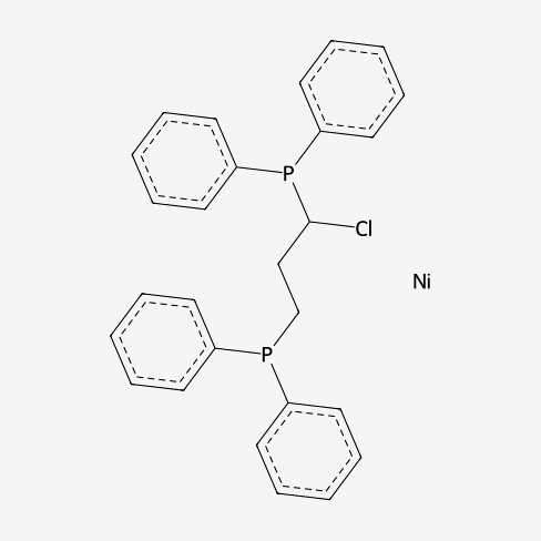 ClC(CCP(c1ccccc1)c1ccccc1)P(c1ccccc1)c1ccccc1.[Ni]